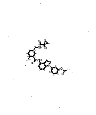 O=C(Nc1cccc2c1cnn2-c1cccc(OC(F)F)c1)c1cc(CNC(=O)C2(O)CC2)ccc1Cl